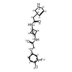 O=C(COc1ccc(Cl)c(F)c1)NC12CC(NC(=O)CC3C=CCNC3)(C1)C2